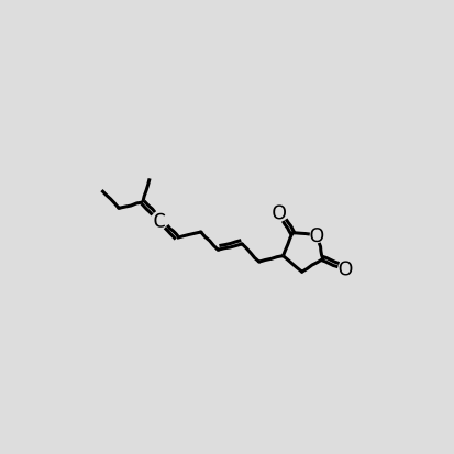 CCC(C)=C=CC/C=C/CC1CC(=O)OC1=O